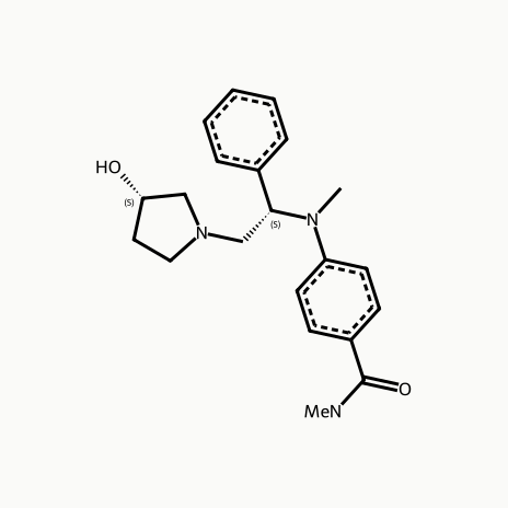 CNC(=O)c1ccc(N(C)[C@H](CN2CC[C@H](O)C2)c2ccccc2)cc1